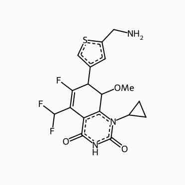 COC1c2c(c(=O)[nH]c(=O)n2C2CC2)C(C(F)F)=C(F)C1c1csc(CN)c1